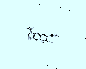 CC(=O)NC1=Cc2cc3c(cc2OC1O)ncn3[Si](C)(C)C